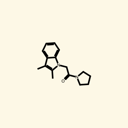 Cc1c(C)n(CC(=O)N2CCCC2)c2ccccc12